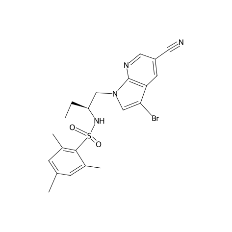 CC[C@@H](Cn1cc(Br)c2cc(C#N)cnc21)NS(=O)(=O)c1c(C)cc(C)cc1C